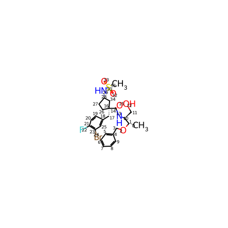 C[C@H](OCc1ccccc1)[C@H](CO)NC(=O)[C@@]1(Cc2ccc(F)c(Br)c2)CC[C@H](NS(C)(=O)=O)C1